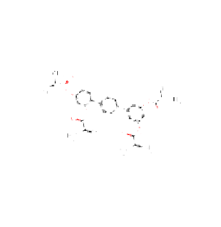 C=C(C)C(=O)Oc1cc(OC(=O)C(=C)C)cc(-c2ccc(-c3ccc(OC(=O)C(=C)C)cc3OC(=O)C(=C)C)cc2)c1